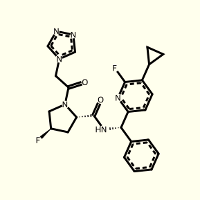 O=C(N[C@@H](c1ccccc1)c1ccc(C2CC2)c(F)n1)[C@@H]1C[C@@H](F)CN1C(=O)Cn1cnnc1